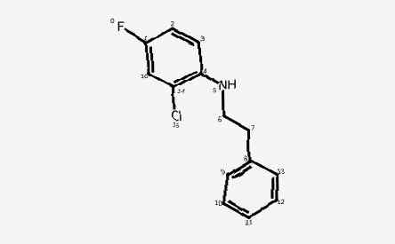 Fc1ccc(NCCc2ccccc2)c(Cl)c1